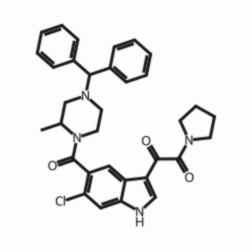 CC1CN(C(c2ccccc2)c2ccccc2)CCN1C(=O)c1cc2c(C(=O)C(=O)N3CCCC3)c[nH]c2cc1Cl